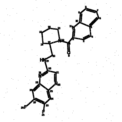 O=C(c1ccc2ccccc2n1)N1CCCCC1CNc1cnc2cc(F)c(F)cc2n1